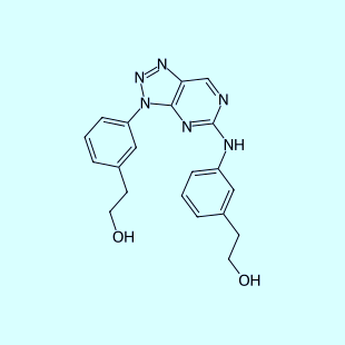 OCCc1cccc(Nc2ncc3nnn(-c4cccc(CCO)c4)c3n2)c1